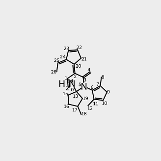 C=C/C(C(=C)N(C1=C(C)CC=C1C)C1(N)CCC(C)C1)=C1/CC=C/C1=C/C